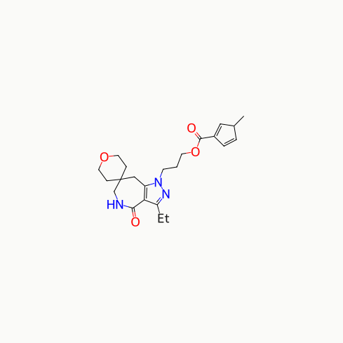 CCc1nn(CCCOC(=O)C2=CC(C)C=C2)c2c1C(=O)NCC1(CCOCC1)C2